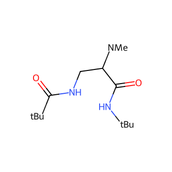 CNC(CNC(=O)C(C)(C)C)C(=O)NC(C)(C)C